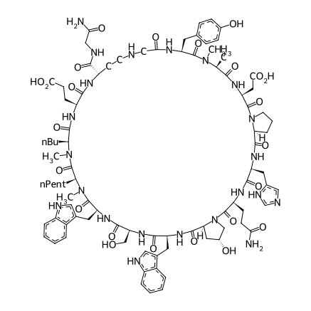 CCCCC[C@H]1C(=O)N(C)[C@@H](CCCC)C(=O)N[C@@H](CCC(=O)O)C(=O)N[C@H](C(=O)NCC(N)=O)CCNCC(=O)N[C@@H](Cc2ccc(O)cc2)C(=O)N(C)[C@@H](C)C(=O)N[C@@H](CC(=O)O)C(=O)N2CCC[C@H]2C(=O)N[C@@H](Cc2cnc[nH]2)C(=O)N[C@@H](CCC(N)=O)C(=O)N2C[C@H](O)C[C@H]2C(=O)N[C@@H](Cc2c[nH]c3ccccc23)C(=O)N[C@@H](CO)C(=O)N[C@@H](Cc2c[nH]c3ccccc23)C(=O)N1C